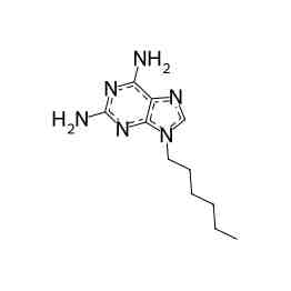 CCCCCCn1cnc2c(N)nc(N)nc21